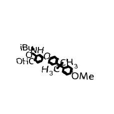 CCC(C)NC(=O)c1cc(Oc2ccc(C(C)(C)c3ccc(OC)cc3)cc2)ccc1C=O